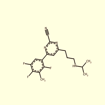 Cc1c(F)c(F)cc(-c2cc(CCCNC(C)C)nc(C#N)n2)c1F